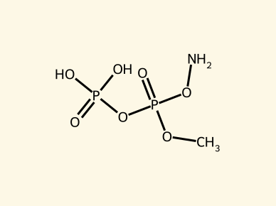 COP(=O)(ON)OP(=O)(O)O